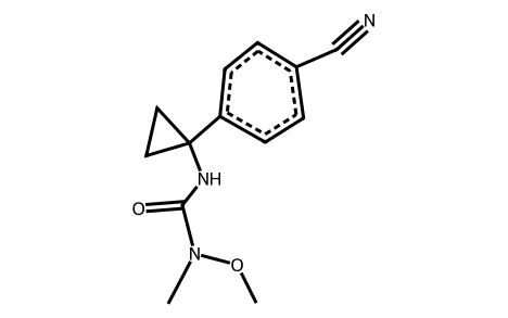 CON(C)C(=O)NC1(c2ccc(C#N)cc2)CC1